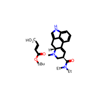 CCCCOC(=O)/C=C/C(=O)O.CCN(CC)C(=O)[C@@H]1C=C2c3cccc4[nH]cc(c34)C[C@H]2N(C)C1